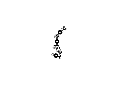 COc1ccc(C(C)C)c(N2CCS/C2=N\C(=O)NC(C)C(C)c2ccc(-c3ncn(-c4ccc(OC(F)(F)F)cc4)n3)cc2)c1